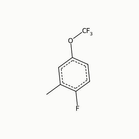 Cc1cc(OC(F)(F)F)ccc1F